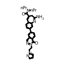 CCCN(CCC)C(=O)C1=Cc2ccc(-c3ccc4c(=O)n(CCn5cccn5)ncc4c3)cc2N=C(N)C1